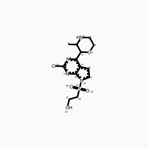 CC1NCCOC1c1nc(Cl)nc2c1ccn2S(=O)(=O)CCO